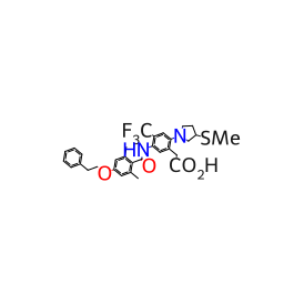 CSC1CCN(c2cc(C(F)(F)F)c(NC(=O)c3c(C)cc(OCCc4ccccc4)cc3C)cc2CC(=O)O)C1